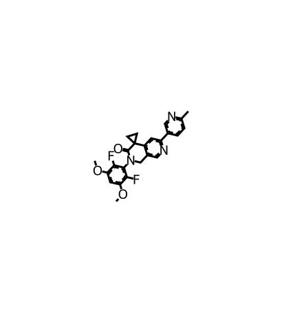 COc1cc(OC)c(F)c(N2Cc3cnc(-c4ccc(C)nc4)cc3C3(CC3)C2=O)c1F